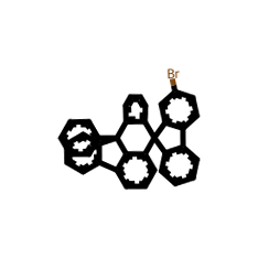 Brc1ccc2c(c1)C1(c3ccccc3-2)c2ccccc2C2(c3ccccc3)c3ccccc3-c3cccc1c32